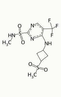 CNS(=O)(=O)c1ncc(C(F)(F)F)c(NC2CC(S(C)(=O)=O)C2)n1